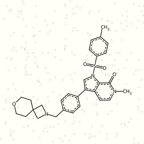 Cc1ccc(S(=O)(=O)n2cc(-c3ccc(CN4CC5(CCOCC5)C4)cc3)c3ccn(C)c(=O)c32)cc1